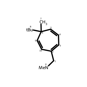 CNCC1=CC=CC(C)(C(C)(C)C)C=C1